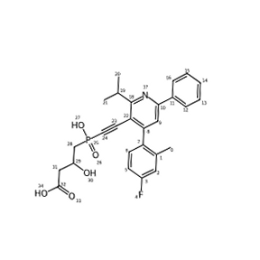 Cc1cc(F)ccc1-c1cc(-c2ccccc2)nc(C(C)C)c1C#CP(=O)(O)CC(O)CC(=O)O